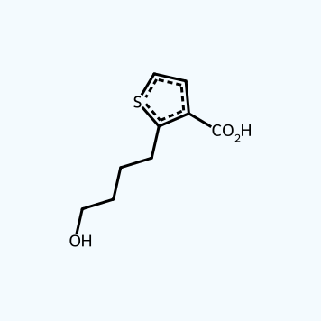 O=C(O)c1ccsc1CCCCO